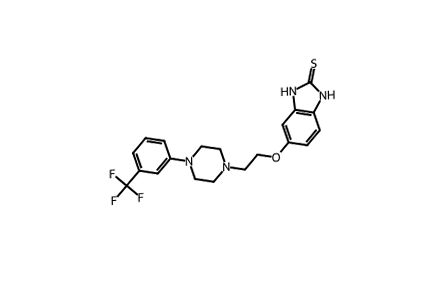 FC(F)(F)c1cccc(N2CCN(CCOc3ccc4[nH]c(=S)[nH]c4c3)CC2)c1